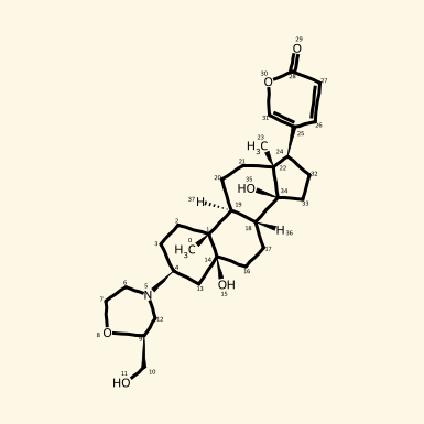 C[C@]12CC[C@H](N3CCO[C@H](CO)C3)C[C@@]1(O)CC[C@@H]1[C@@H]2CC[C@]2(C)[C@@H](c3ccc(=O)oc3)CC[C@]12O